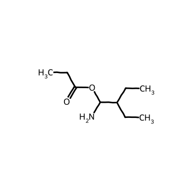 CCC(=O)OC(N)C(CC)CC